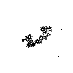 O=C(N[C@@H](C(=O)N1CCC[C@H]1C(=O)NC1CCN(c2ccc(-c3cnc([C@@H]4CCCN4C(=O)[C@H](NC(=O)C4CC4)c4ccccc4)[nH]3)cc2F)CC1)c1ccccc1)C1CC1